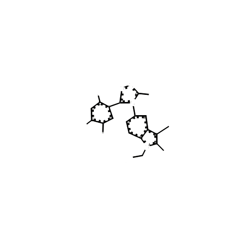 CCc1cc(-c2nnc(S)n2-c2ccc3c(c2)c(C)c(C)n3CC(=O)O)c(O)cc1O